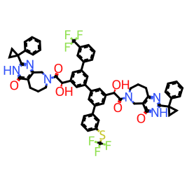 O=C([C@H](O)c1cc(-c2cc(-c3cccc(SC(F)(F)F)c3)cc([C@@H](O)C(=O)N3CCCc4nc(C5(c6ccccc6)CC5)[nH]c(=O)c4C3)c2)cc(-c2cccc(C(F)(F)F)c2)c1)N1CCCc2c(nc(C3(c4ccccc4)CC3)[nH]c2=O)C1